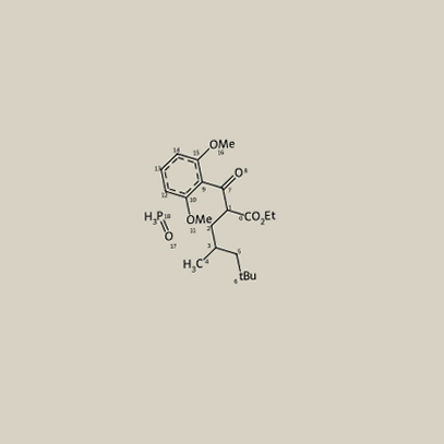 CCOC(=O)C(CC(C)CC(C)(C)C)C(=O)c1c(OC)cccc1OC.O=[PH3]